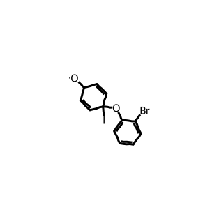 [O]C1C=CC(I)(Oc2ccccc2Br)C=C1